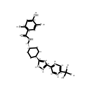 O=C(NC[C@H]1CC[C@H](c2nc(-c3cnc(C(F)(F)F)cn3)no2)CC1)c1cc(F)c(O)cc1F